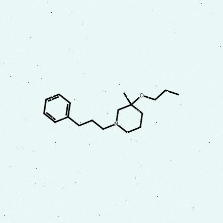 CCCOC1(C)CCCN(CCCc2ccccc2)C1